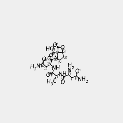 C[C@H](NC(=O)[C@@H](N)CC(N)=O)C(=O)N[C@@H](CC(N)=O)C(=O)N1CCC2OC(=O)[C@@]21C(=O)O